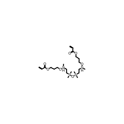 C=CC(=O)OCCCO[SiH](C)CC[Si](C)(C)O[Si](C)(C)CC[SiH](C)OCCCOC(=O)C=C